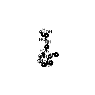 O=C(N[C@H]1C[C@H](NC(=O)c2cncc(-c3cccc([C@](O)(C(=O)OCC4CCN(Cc5ccccc5)CC4)c4ccccc4)c3)n2)C1)c1ccc(CNC[C@H](O)c2ccc(O)c3[nH]c(=O)ccc23)cc1